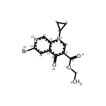 CCOC(=O)c1cn(C2CC2)c2cnc(Br)cc2c1=O